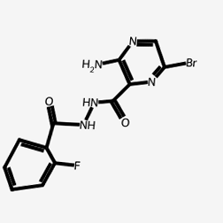 Nc1ncc(Br)nc1C(=O)NNC(=O)c1ccccc1F